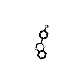 N#Cc1ccc(C2COc3ccccc3O2)cc1